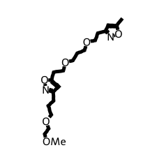 COCCOCCCc1cc(CCOCCCOCCc2cc(C)on2)on1